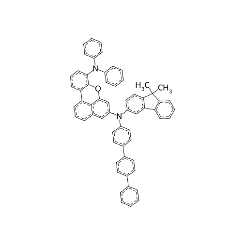 CC1(C)c2ccccc2-c2cc(N(c3ccc(-c4ccc(-c5ccccc5)cc4)cc3)c3cc4c5c(cccc5c3)-c3cccc(N(c5ccccc5)c5ccccc5)c3O4)ccc21